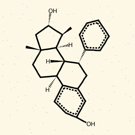 C[C@H]1[C@H]2[C@H]3[C@H](CC[C@]2(C)C[C@@H]1O)c1ccc(O)cc1C[C@H]3c1ccccc1